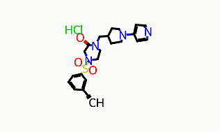 C#Cc1cccc(S(=O)(=O)N2CCN(CC3CCN(c4ccncc4)CC3)C(=O)C2)c1.Cl